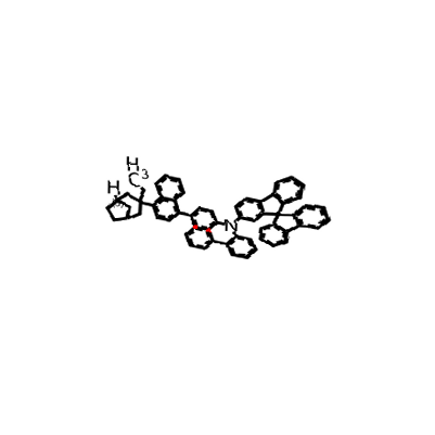 CCC1(c2ccc(-c3ccc(N(c4ccc5c(c4)C4(c6ccccc6-c6ccccc64)c4ccccc4-5)c4ccccc4-c4ccccc4)cc3)c3ccccc23)CC2CC[C@@H](C2)C1